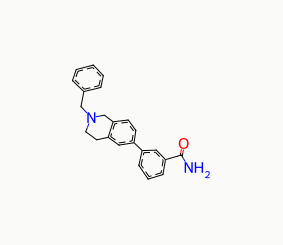 NC(=O)c1cccc(-c2ccc3c(c2)CCN(Cc2ccccc2)C3)c1